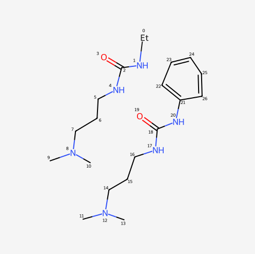 CCNC(=O)NCCCN(C)C.CN(C)CCCNC(=O)Nc1ccccc1